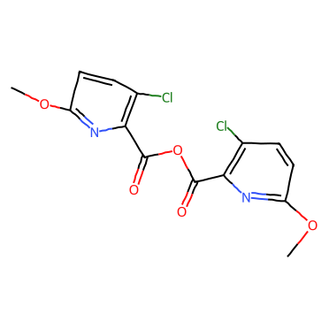 COc1ccc(Cl)c(C(=O)OC(=O)c2nc(OC)ccc2Cl)n1